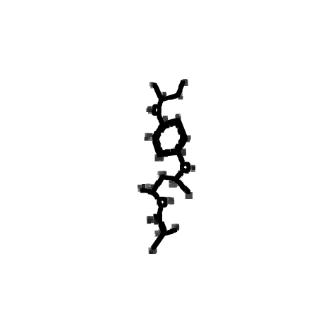 CCC(C)Oc1ccc(OC(C)CC(C)ON=C(C)C)cc1